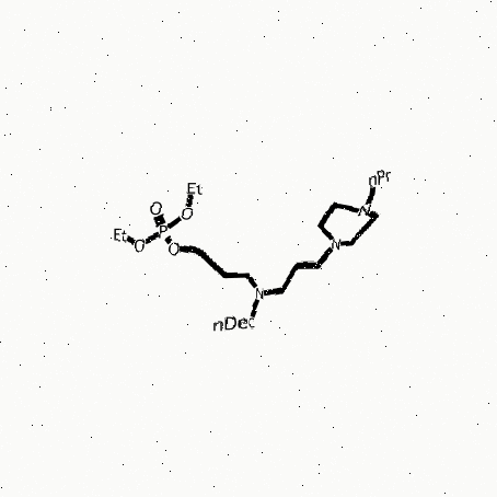 CCCCCCCCCCN(CCCOP(=O)(OCC)OCC)CCCN1CCN(CCC)CC1